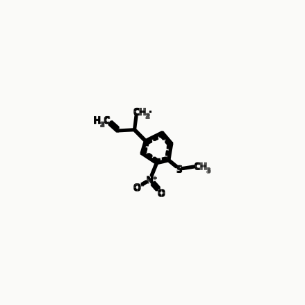 [CH2]C(C=C)c1ccc(SC)c([N+](=O)[O-])c1